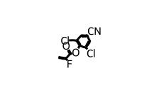 C=C(F)C(=O)Oc1c(Cl)cc(C#N)cc1Cl